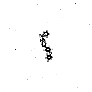 O=C(c1cn2c(n1)CCC(c1ccc(Oc3ccccc3)cc1)C2)N1CCCC1